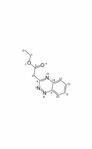 CCOC(=O)Cc1nnc2ccccc2n1